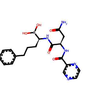 NC(=O)C[C@@H](NC(=O)c1cnccn1)C(=O)N[C@@H](CCCc1ccccc1)B(O)O